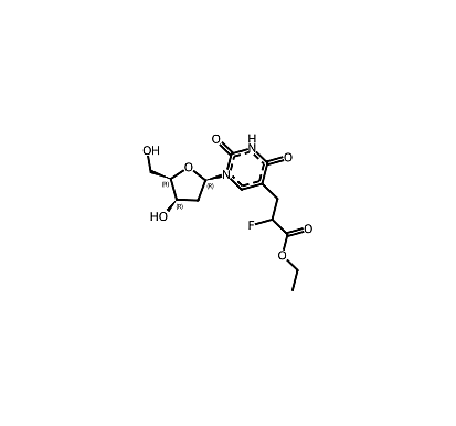 CCOC(=O)C(F)Cc1cn([C@H]2C[C@@H](O)[C@@H](CO)O2)c(=O)[nH]c1=O